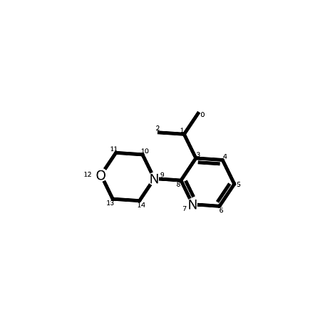 CC(C)c1cccnc1N1CCOCC1